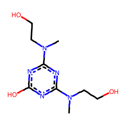 CN(CCO)c1nc(O)nc(N(C)CCO)n1